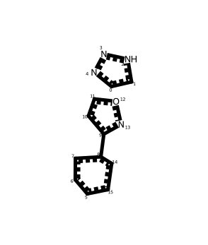 c1c[nH]nn1.c1ccc(-c2ccon2)cc1